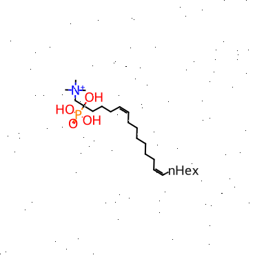 CCCCCC/C=C\CCCCCC/C=C\CCCC(O)(C[N+](C)(C)C)P(=O)(O)O